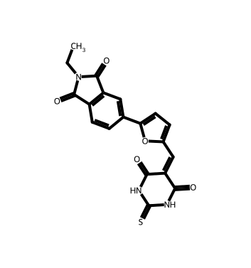 CCN1C(=O)c2ccc(-c3ccc(C=C4C(=O)NC(=S)NC4=O)o3)cc2C1=O